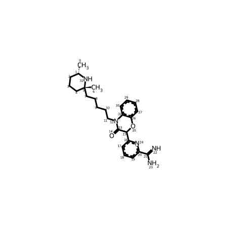 C[C@H]1CCC[C@@](C)(CCCCCN2C(=O)C(c3cccc(C(=N)N)n3)Oc3ccccc32)N1